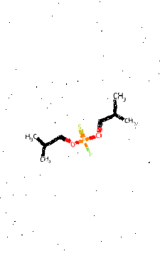 CC(C)COP(F)(=S)OCC(C)C